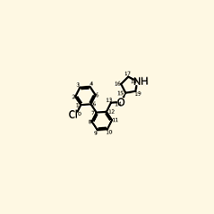 Clc1ccccc1-c1ccccc1CO[C@H]1CCNC1